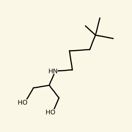 CC(C)(C)CCCNC(CO)CO